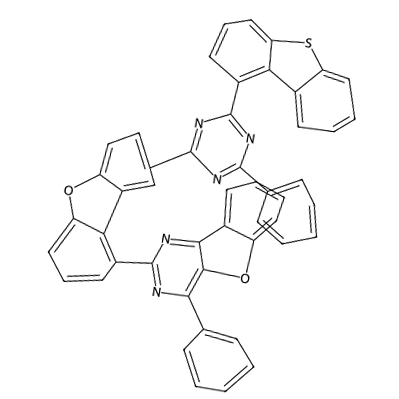 c1ccc(-c2nc(-c3ccc4oc5cccc(-c6nc(-c7ccccc7)c7oc8ccccc8c7n6)c5c4c3)nc(-c3cccc4sc5ccccc5c34)n2)cc1